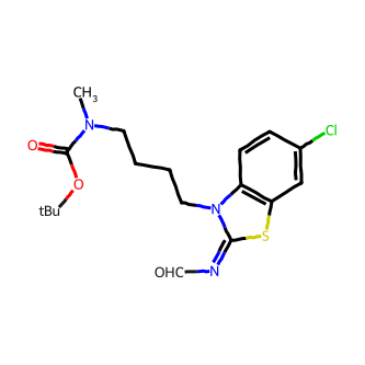 CN(CCCCn1c(=NC=O)sc2cc(Cl)ccc21)C(=O)OC(C)(C)C